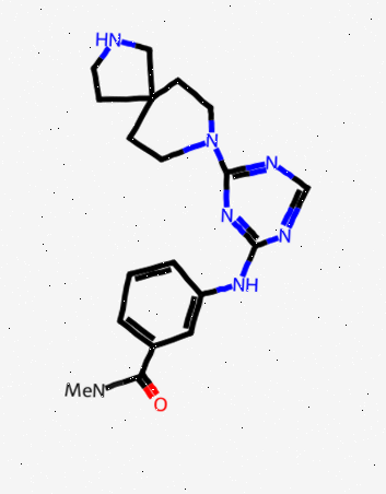 CNC(=O)c1cccc(Nc2ncnc(N3CCC4(CCNC4)CC3)n2)c1